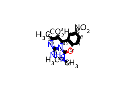 CC1=C(C(=O)O)C(c2cccc([N+](=O)[O-])c2)N(C(=O)N(C)C)C(N)=N1